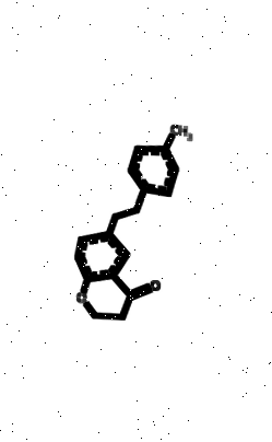 Cc1ccc(CCc2ccc3c(c2)C(=O)CCO3)cc1